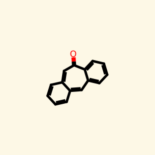 O=c1cc2ccccc2cc2ccccc12